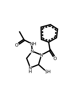 CC(=O)NN1CNC(S)N1C(=O)c1ccccc1